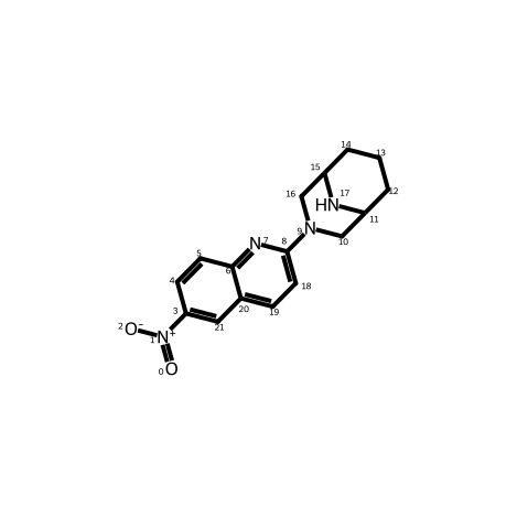 O=[N+]([O-])c1ccc2nc(N3CC4CCCC(C3)N4)ccc2c1